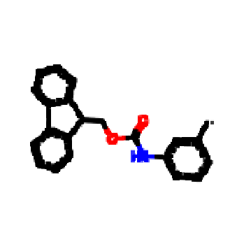 [CH2]c1cccc(NC(=O)OCC2c3ccccc3-c3ccccc32)c1